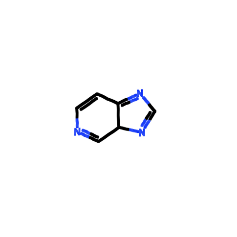 C1=CC2=NC=NC2C=N1